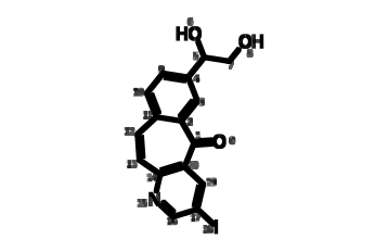 O=c1c2cc(C(O)CO)ccc2ccc2ncc(I)cc12